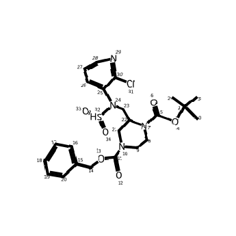 CC(C)(C)OC(=O)N1CCN(C(=O)OCc2ccccc2)CC1CN(c1cccnc1Cl)[SH](=O)=O